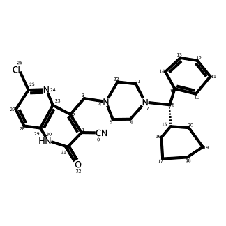 N#Cc1c(CN2CCN([C@H](c3ccccc3)C3CCCCC3)CC2)c2nc(Cl)ccc2[nH]c1=O